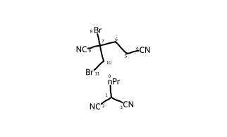 CCCC(C#N)C#N.N#CCCC(Br)(C#N)CBr